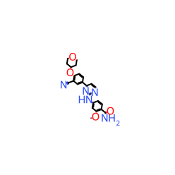 COc1cc(Nc2nccc(-c3ccc(OC4CCOCC4)c(C#N)c3)n2)ccc1C(N)=O